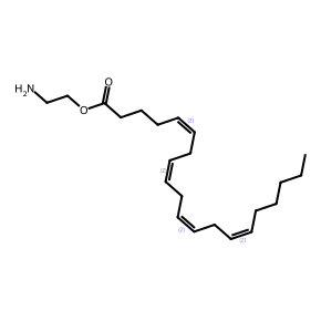 CCCCC/C=C\C/C=C\C/C=C\C/C=C\CCCC(=O)OCCN